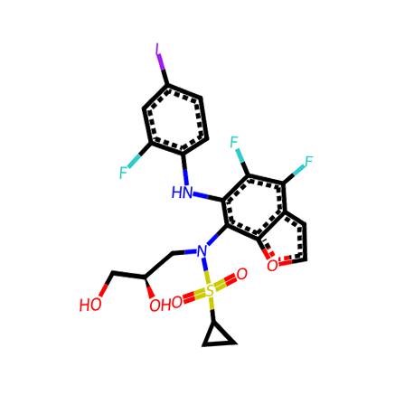 O=S(=O)(C1CC1)N(C[C@@H](O)CO)c1c(Nc2ccc(I)cc2F)c(F)c(F)c2ccoc12